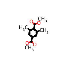 COC(=O)c1cc(C)c(C(=O)OC)c(C)c1